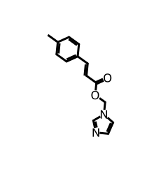 Cc1ccc(C=CC(=O)OCn2ccnc2)cc1